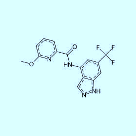 COc1cccc(C(=O)Nc2cc(C(F)(F)F)cc3[nH]ncc23)n1